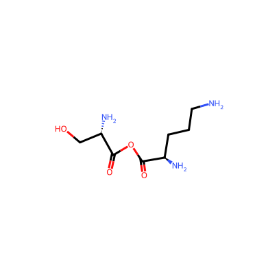 NCCC[C@@H](N)C(=O)OC(=O)[C@@H](N)CO